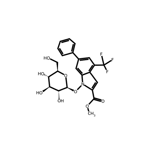 COC(=O)c1cc2c(C(F)(F)F)cc(-c3ccccc3)cc2n1O[C@@H]1O[C@H](CO)[C@@H](O)[C@H](O)[C@H]1O